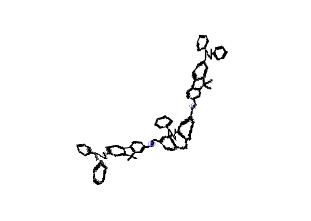 CC1(C)c2cc(/C=C/c3ccc4c(c3)N(c3ccccc3)c3cc(/C=C/c5ccc6c(c5)C(C)(C)c5cc(N(c7ccccc7)c7ccccc7)ccc5-6)ccc3CC4)ccc2-c2ccc(N(c3ccccc3)c3ccccc3)cc21